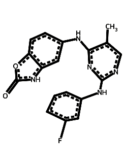 Cc1cnc(Nc2cccc(F)c2)nc1Nc1ccc2oc(=O)[nH]c2c1